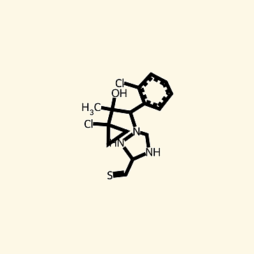 CC(O)(C(c1ccccc1Cl)N1CNC(C=S)N1)C1(Cl)CC1